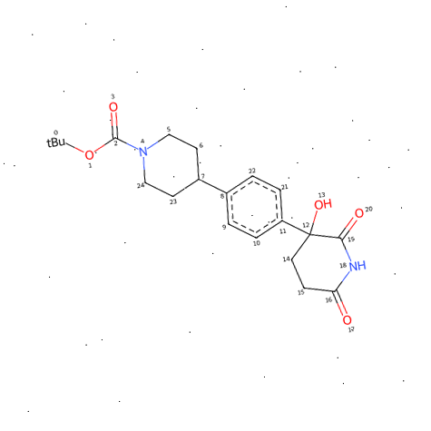 CC(C)(C)OC(=O)N1CCC(c2ccc(C3(O)CCC(=O)NC3=O)cc2)CC1